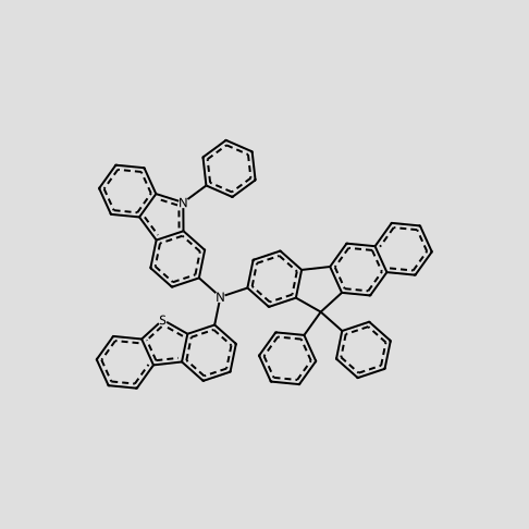 c1ccc(-n2c3ccccc3c3ccc(N(c4ccc5c(c4)C(c4ccccc4)(c4ccccc4)c4cc6ccccc6cc4-5)c4cccc5c4sc4ccccc45)cc32)cc1